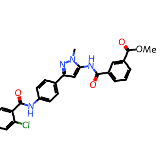 COC(=O)c1cccc(C(=O)Nc2cc(-c3ccc(NC(=O)c4ccccc4Cl)cc3)nn2C)c1